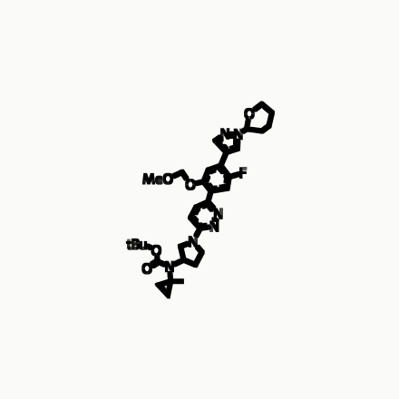 COCOc1cc(-c2cnn(C3CCCCO3)c2)c(F)cc1-c1ccc(N2CCC(N(C(=O)OC(C)(C)C)C3(C)CC3)C2)nn1